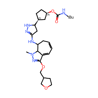 CCC(C)NC(=O)O[C@@H]1CC[C@H](C2CC(NC3CC=CC=C4C(OCC5CCOC5)=NN(C)C43)=NN2)C1